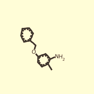 Cc1ccc(OCc2ccccc2)cc1N